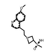 COc1ccc2c(CCN3CC(S(C)(=N)=O)C3)ccnc2c1